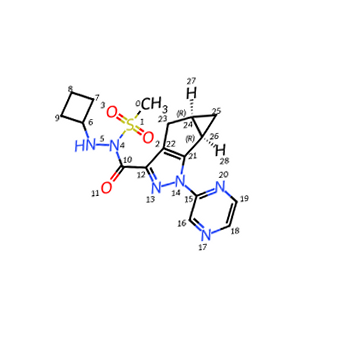 CS(=O)(=O)N(NC1CCC1)C(=O)c1nn(-c2cnccn2)c2c1C[C@H]1C[C@@H]21